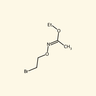 CCOC(C)=NOCCBr